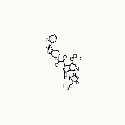 COc1cnc(-n2cnc(C)n2)c2[nH]cc(C(=O)C(=O)N3CCc4c(cnn4-c4ccccn4)C3)c12